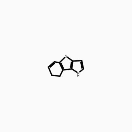 C1=Cc2sc3cc[nH]c3c2CC1